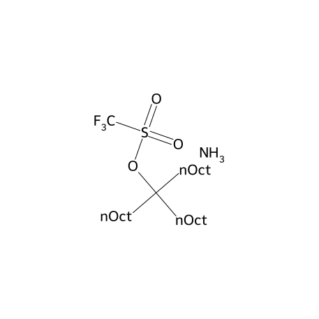 CCCCCCCCC(CCCCCCCC)(CCCCCCCC)OS(=O)(=O)C(F)(F)F.N